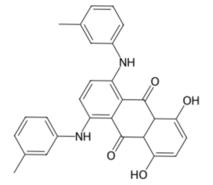 Cc1cccc(Nc2ccc(Nc3cccc(C)c3)c3c2C(=O)C2C(O)=CC=C(O)C2C3=O)c1